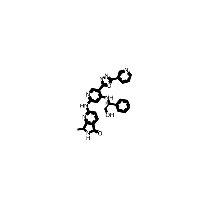 CC1NC(=O)c2ccc(Nc3cc(N[C@H](CO)c4ccccc4)c(-c4nnc(-c5cccnc5)o4)cn3)nc21